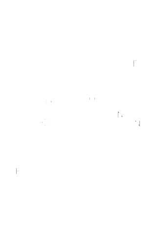 COC(=O)c1cc(OC(Cn2ccnc2C)c2ccc(F)cc2)ccc1CCc1ccc(F)cc1